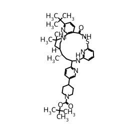 C[C@H]1CC(c2ccc(C3CCN(C(=O)OC(C)(C)C)CC3)cn2)Nc2cccc(n2)SNC(=O)c2ccc(C(C)(C)C)nc2N2C[C@@H]1CC2(C)C